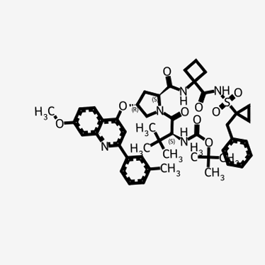 COc1ccc2c(O[C@@H]3C[C@@H](C(=O)NC4(C(=O)NS(=O)(=O)C5(Cc6ccccc6)CC5)CCC4)N(C(=O)[C@@H](NC(=O)OC(C)(C)C)C(C)(C)C)C3)cc(-c3cccc(C)c3)nc2c1